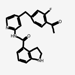 CC(=O)c1ccc(Cc2ccnc(NC(=O)c3cccc4c3CCN4)c2)cc1F